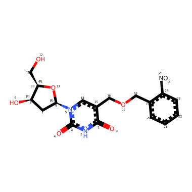 O=c1[nH]c(=O)n([C@H]2C[C@@H](O)[C@@H](CO)O2)cc1COCc1ccccc1[N+](=O)[O-]